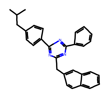 CC(C)Cc1ccc(-c2nc(Cc3ccc4ccccc4c3)nc(-c3ccccc3)n2)cc1